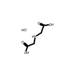 Cl.O=C(O)CNCC(=O)O